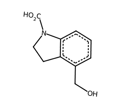 O=C(O)N1CCc2c(CO)cccc21